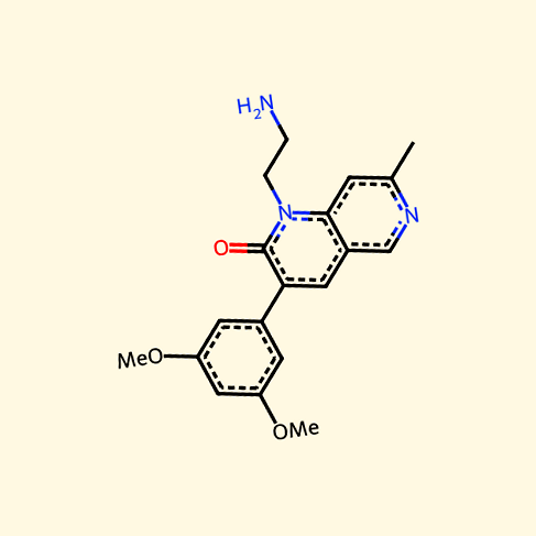 COc1cc(OC)cc(-c2cc3cnc(C)cc3n(CCN)c2=O)c1